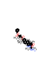 CC(C)C1=C2[C@H]3CCC4[C@@]5(C)CC[C@H](OC(=O)[C@@H]6C[C@H](C(=O)OCc7ccccc7)C6(C)C)C(C)(C)C5CC[C@@]4(C)[C@]3(C)CC[C@@]2(NC(=O)C(C)(C)N)CC1=O